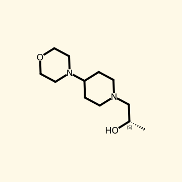 C[C@H](O)CN1CCC(N2CCOCC2)CC1